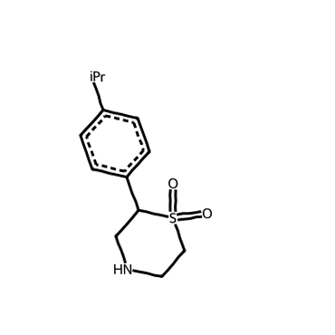 CC(C)c1ccc(C2CNCCS2(=O)=O)cc1